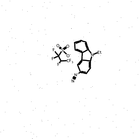 CCn1c2ccccc2c2cc([N+]#N)ccc21.O=S(=O)([O-])C(F)(F)C(F)C(F)(F)F